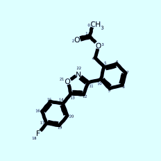 CC(=O)OCc1ccccc1-c1cc(-c2ccc(F)cc2)on1